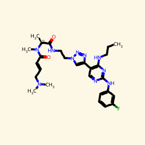 CCCNc1nc(Nc2cccc(F)c2)ncc1-c1cn(CCNC(=O)[C@H](C)N(C)C(=O)C=CCN(C)C)nn1